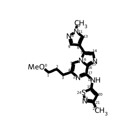 COCCCc1cn2c(-c3cnn(C)c3)cnc2c(Nc2cc(C)ns2)n1